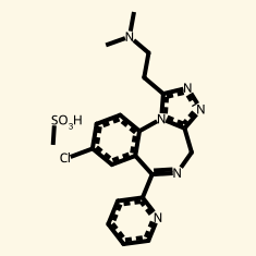 CN(C)CCc1nnc2n1-c1ccc(Cl)cc1C(c1ccccn1)=NC2.CS(=O)(=O)O